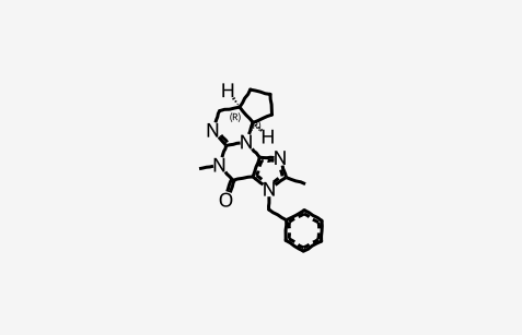 Cc1nc2c(n1Cc1ccccc1)C(=O)N(C)C1=NC[C@H]3CCC[C@H]3N12